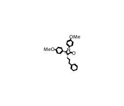 COc1ccc([C@@H]2[C@@H](CCCC3=CCCC=C3)C(=O)N2c2ccc(OC)cc2)cc1